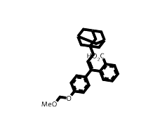 COCOc1ccc(C(=CCC23CC4CC(CC(C4)C2)C3)c2ccccc2C(=O)O)cc1